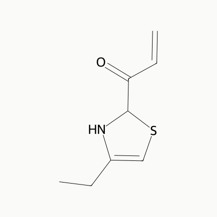 C=CC(=O)C1NC(CC)=CS1